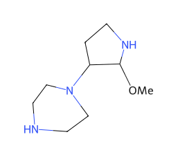 COC1NCCC1N1CCNCC1